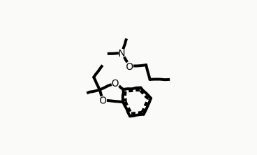 CCC1(C)Oc2ccccc2O1.CCCON(C)C